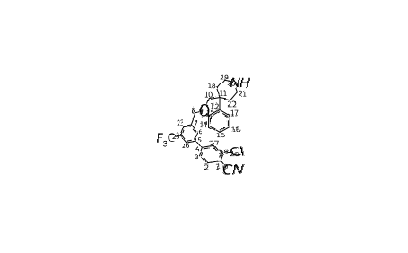 N#Cc1ccc(-c2cc(COCC3(c4ccccc4)CCNCC3)cc(C(F)(F)F)c2)cc1Cl